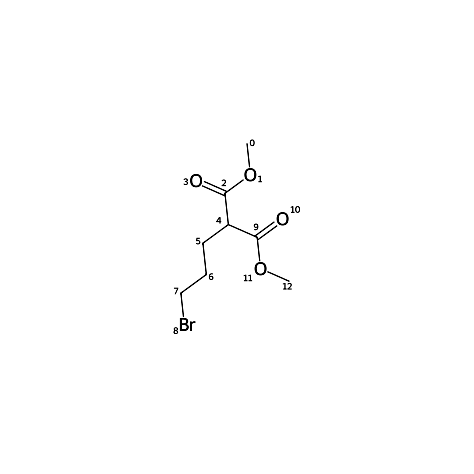 COC(=O)C(CCCBr)C(=O)OC